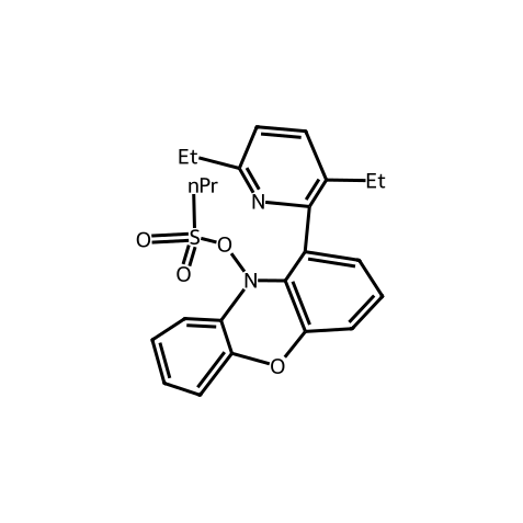 CCCS(=O)(=O)ON1c2ccccc2Oc2cccc(-c3nc(CC)ccc3CC)c21